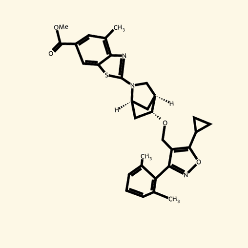 COC(=O)c1cc(C)c2nc(N3C[C@@H]4C[C@H]3C[C@H]4OCc3c(-c4c(C)cccc4C)noc3C3CC3)sc2c1